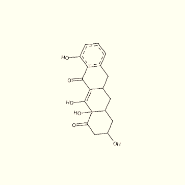 O=C1C2=C(O)C3(O)C(=O)CC(O)CC3CC2Cc2cccc(O)c21